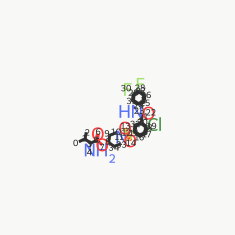 CC(C)[C@H](N)C(=O)OC1CCN(S(=O)(=O)c2ccc(Cl)c(C(=O)Nc3ccc(F)c(F)c3)c2)CC1